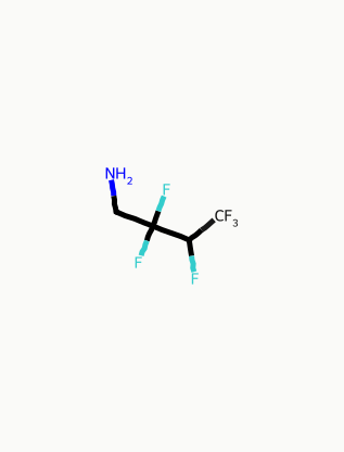 NCC(F)(F)C(F)C(F)(F)F